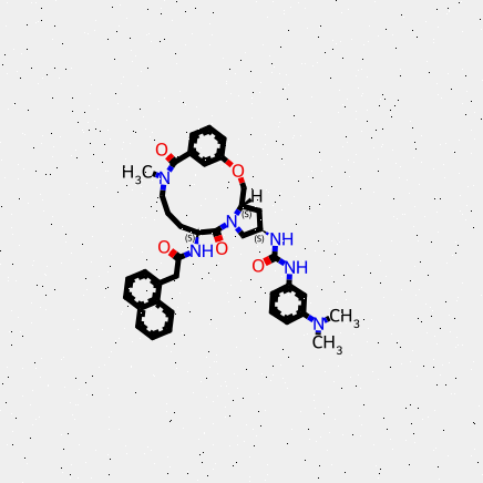 CN1CCC[C@H](NC(=O)Cc2cccc3ccccc23)C(=O)N2C[C@@H](NC(=O)Nc3cccc(N(C)C)c3)C[C@H]2COc2cccc(c2)C1=O